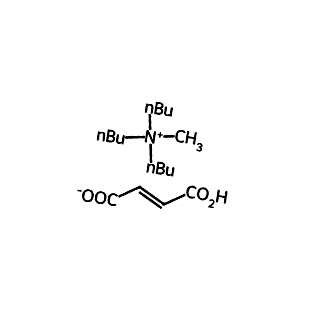 CCCC[N+](C)(CCCC)CCCC.O=C([O-])/C=C/C(=O)O